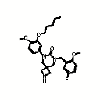 CCCCCOc1cc(N2CC3(CNC3)CN(Cc3cc(F)ccc3OC)C2=O)ccc1OC